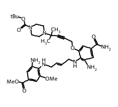 COC(=O)c1cc(N)c(NC/C=C/CNc2c(N)cc(C(N)=O)cc2OCC#CC(C)(C)N2CCN(C(=O)OC(C)(C)C)CC2)c(OC)c1